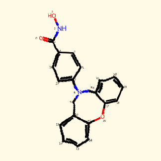 O=C(NO)c1ccc(N2Cc3ccccc3Oc3ccccc32)cc1